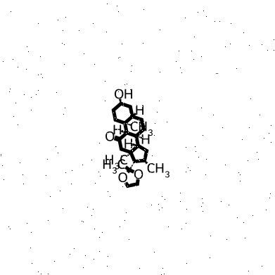 C[C@@H]1C[C@H]2[C@@H]3CC[C@H]4C[C@H](O)CC[C@]4(C)[C@H]3C(=O)C[C@]2(C)[C@H]1C1(C)OCCO1